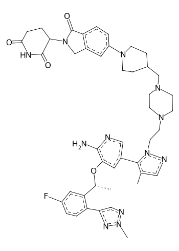 Cc1cnn(CCN2CCN(CC3CCN(c4ccc5c(c4)CN(C4CCC(=O)NC4=O)C5=O)CC3)CC2)c1-c1cnc(N)c(O[C@H](C)c2cc(F)ccc2-c2cnn(C)n2)c1